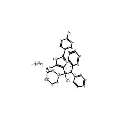 Cc1[nH]c(-c2ccc(C(C)(C)C)cc2)nc1C(C)(C(c1ccccc1)c1ccccc1)N1CCNCC1.Cl.Cl.Cl